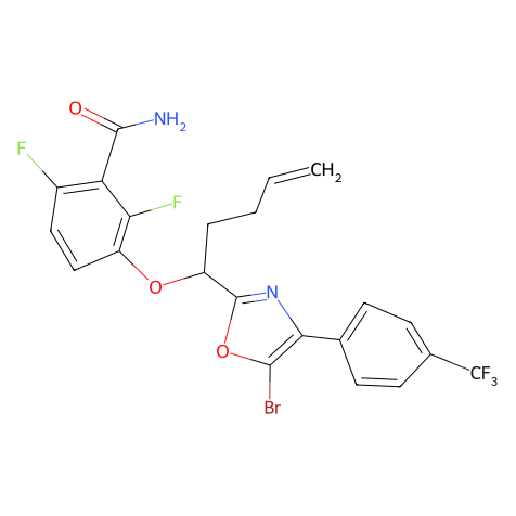 C=CCCC(Oc1ccc(F)c(C(N)=O)c1F)c1nc(-c2ccc(C(F)(F)F)cc2)c(Br)o1